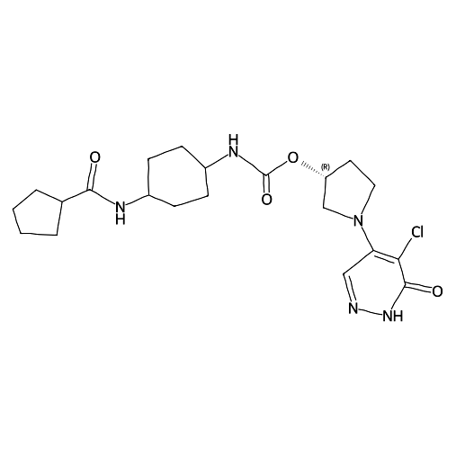 O=C(NC1CCC(NC(=O)C2CCCC2)CC1)O[C@@H]1CCN(c2cn[nH]c(=O)c2Cl)C1